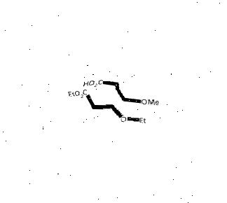 CCOCCC(=O)OCC.COCCC(=O)O